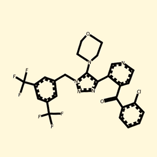 O=C(c1ccccc1Cl)c1ccncc1-c1nnn(Cc2cc(C(F)(F)F)cc(C(F)(F)F)c2)c1N1CCOCC1